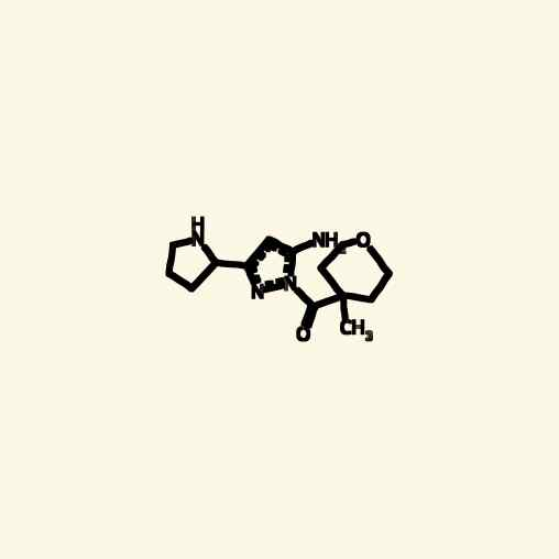 CC1(C(=O)n2nc(C3CCCN3)cc2N)CCOCC1